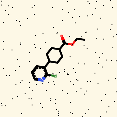 CCOC(=O)C1CCC(c2cccnc2Cl)CC1